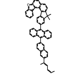 C/C=C\C=C(/C)c1ccc2cc(-c3c4ccccc4c(-c4ccc5c(c4)C(C)(C)c4ccc6ccc7oc8ccccc8c7c6c4-5)c4ccccc34)ccc2c1